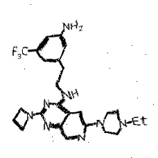 CCN1CCN(c2cc3c(NCCc4cc(N)cc(C(F)(F)F)c4)nc(N4CCC4)nc3cn2)CC1